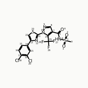 CS(=O)(=O)NC(=O)c1cnn(-c2nc(-c3ccc(Cl)c(Cl)c3)cs2)c1C(F)(F)F